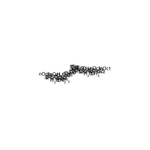 CCCCCCCCC1(CCCCCCCC)c2ccccc2-c2ccc(-c3ccc4c(c3)C(C)(C)c3cc(-c5ccc6c(c5)C(C)(C)c5cc(-c7ccc8c(c7)Oc7cc(-c9ccc%10c(c9)C(C)(C)C9=CC(C)(c%11ccc%12c(c%11)C(C)(C)c%11cc(-c%13ccc%14c(c%13)C(CCCCCCCC)(CCCCCCCC)c%13ccccc%13-%14)ccc%11-%12)CC=C9%10)ccc7N8c7ccccc7-c7ccccc7)ccc5-6)ccc3-4)cc21